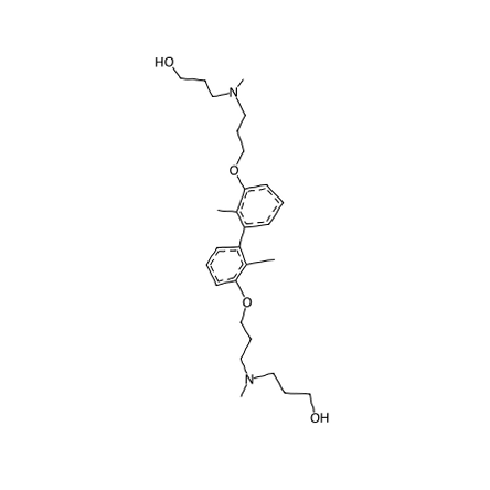 Cc1c(OCCCN(C)CCCO)cccc1-c1cccc(OCCCN(C)CCCO)c1C